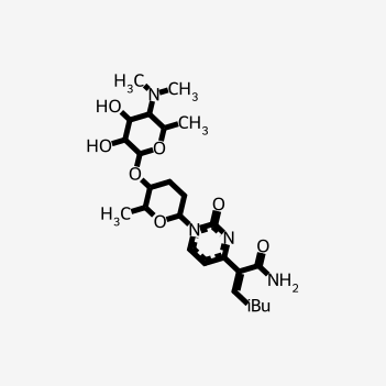 CCC(C)C=C(C(N)=O)c1ccn(C2CCC(OC3OC(C)C(N(C)C)C(O)C3O)C(C)O2)c(=O)n1